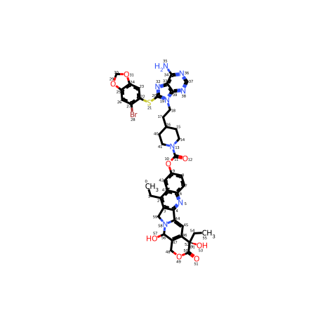 CCc1c2c(nc3ccc(OC(=O)N4CCC(CCn5c(Sc6cc7c(cc6Br)OCO7)nc6c(N)ncnc65)CC4)cc13)C1=CC3=C(COC(=O)[C@@]3(O)CC)C(O)N1C2